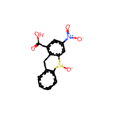 O=C(O)c1cc([N+](=O)[O-])cc2c1Cc1ccccc1[S+]2[O-]